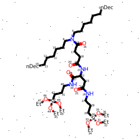 CCCCCCCCCCCCCCCCN(CCCCCCCCCCCCCCCC)C(=O)CCC(=O)NC(CC(=O)NCCC[Si](OCC)(OCC)OCC)C(=O)NCCC[Si](OCC)(OCC)OCC